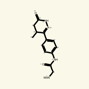 CNCC(=O)Nc1ccc(C2=NNC(=O)CC2C)cc1